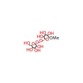 CO[C@@H]1O[C@H](COCO[C@@H]2O[C@H](CO)[C@H](O)[C@H](O)[C@H]2O)[C@@H](O)[C@H](O)[C@H]1O